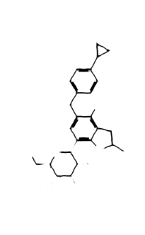 CC1Cc2c(Cl)c(Cc3ccc(C4CC4)cc3)cc([C@@H]3O[C@H](CO)[C@@H](O)[C@H](O)[C@H]3O)c2O1